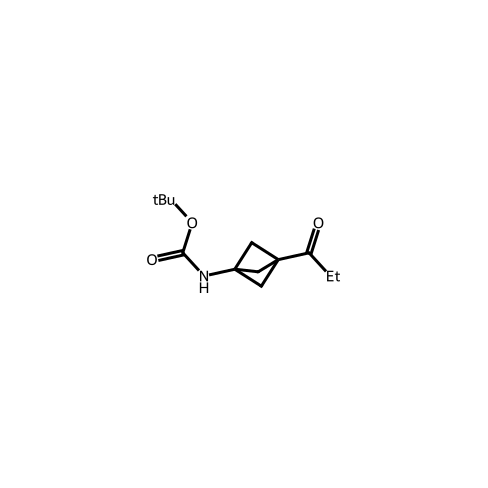 CCC(=O)C12CC(NC(=O)OC(C)(C)C)(C1)C2